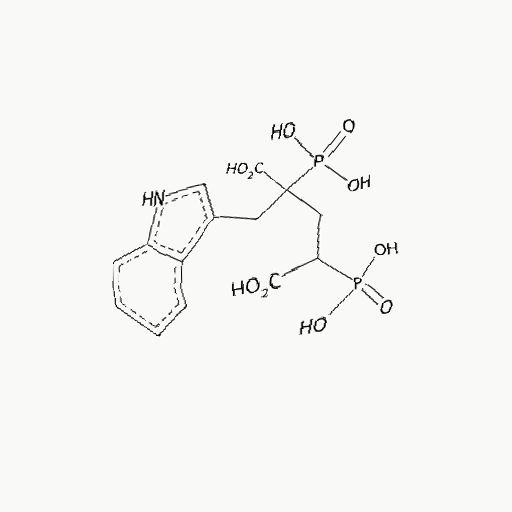 O=C(O)C(CC(Cc1c[nH]c2ccccc12)(C(=O)O)P(=O)(O)O)P(=O)(O)O